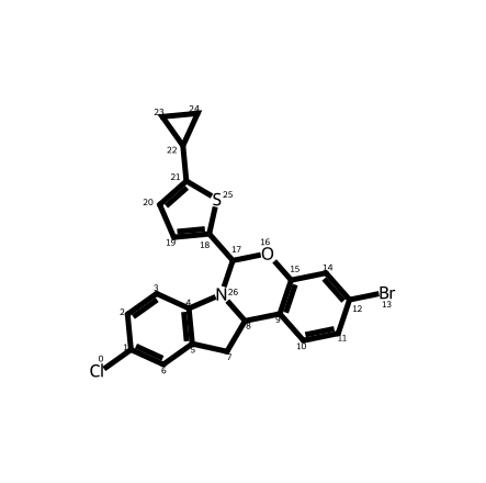 Clc1ccc2c(c1)CC1c3ccc(Br)cc3OC(c3ccc(C4CC4)s3)N21